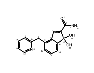 NC(=O)C1=Cc2c(Cc3ccccn3)cccc2S1(O)O